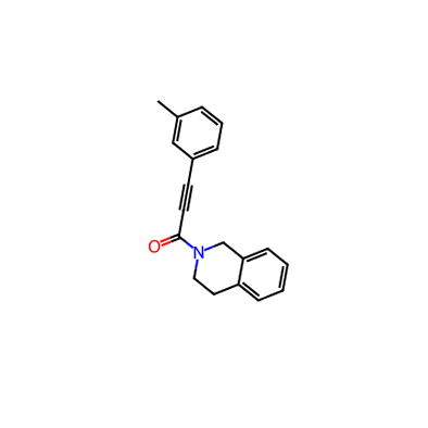 Cc1cccc(C#CC(=O)N2CCc3ccccc3C2)c1